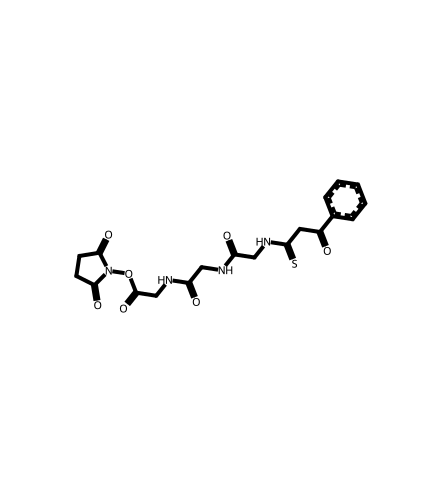 O=C(CNC(=O)CNC(=S)CC(=O)c1ccccc1)NCC(=O)ON1C(=O)CCC1=O